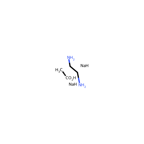 CC(=O)O.NCCN.[NaH].[NaH]